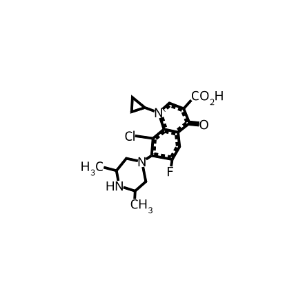 CC1CN(c2c(F)cc3c(=O)c(C(=O)O)cn(C4CC4)c3c2Cl)CC(C)N1